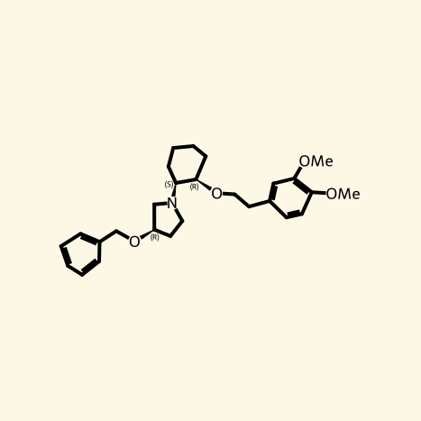 COc1ccc(CCO[C@@H]2CCCC[C@@H]2N2CC[C@@H](OCc3ccccc3)C2)cc1OC